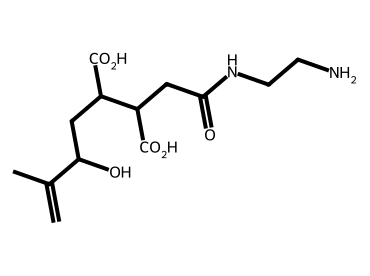 C=C(C)C(O)CC(C(=O)O)C(CC(=O)NCCN)C(=O)O